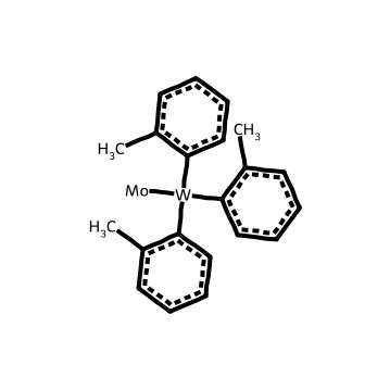 Cc1cccc[c]1[W]([Mo])([c]1ccccc1C)[c]1ccccc1C